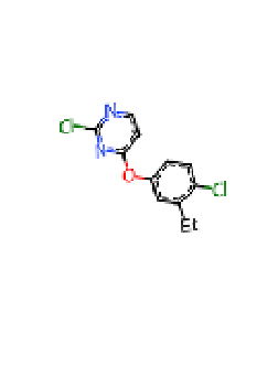 CCc1cc(Oc2ccnc(Cl)n2)ccc1Cl